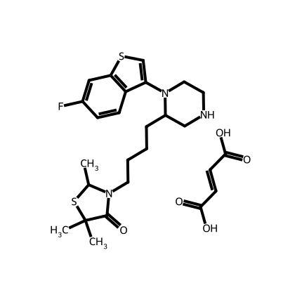 CC1SC(C)(C)C(=O)N1CCCCC1CNCCN1c1csc2cc(F)ccc12.O=C(O)C=CC(=O)O